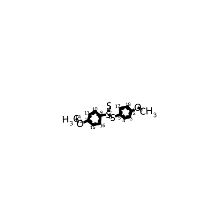 COc1ccc(SS(=S)c2ccc(OC)cc2)cc1